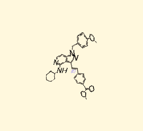 COC(=O)c1ccc(/C=C/c2nn(Cc3ccc(OC)cc3)c3ccnc(NC4CCCCC4)c23)cc1